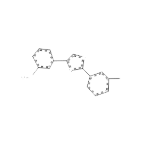 COc1cccc(-c2c[nH]c(-c3cccc(Cl)c3)n2)c1